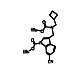 CC(C)(C)OC(=O)N(Cc1cn(C(=O)OC(C)(C)C)c2cc(C#N)ccc12)CC1CCC1